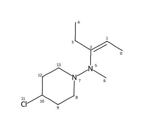 C/C=C(/CC)N(C)N1CCC(Cl)CC1